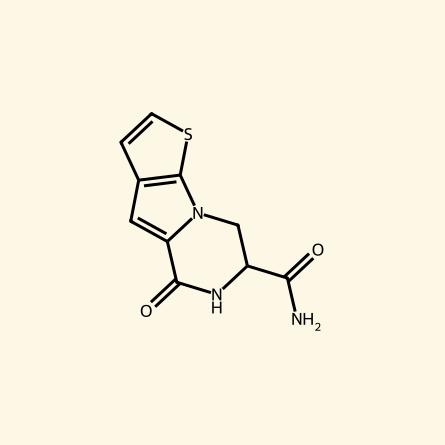 NC(=O)C1Cn2c(cc3ccsc32)C(=O)N1